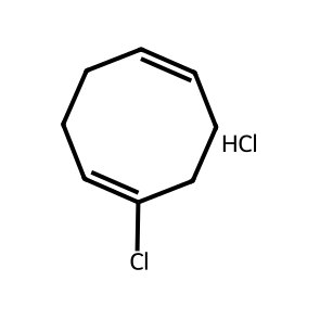 Cl.ClC1=CCCC=CCC1